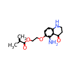 C=C(C)C(=O)OCCOc1ccc2c(c1N)C(=O)CCN2